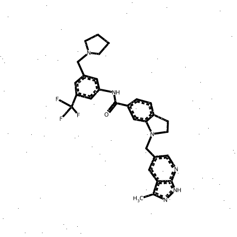 Cc1n[nH]c2ncc(CN3CCc4ccc(C(=O)Nc5cc(CN6CCCC6)cc(C(F)(F)F)c5)cc43)cc12